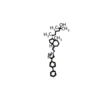 CC(CCCC(C)(C)O)[C@H]1CC[C@H]2/C(=C/Cn3cc(-c4ccc(-c5ccccc5)cc4)nn3)CCC[C@]12C